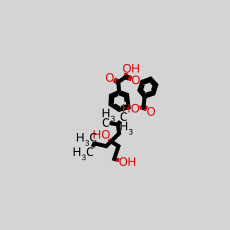 CC(C)CC(O)(CCO)CC(C)C.O=C(O)C(=O)c1ccccc1.O=C(O)c1ccccc1